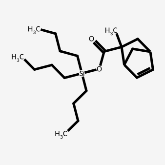 CCCC[Si](CCCC)(CCCC)OC(=O)C1(C)CC2C=CC1C2